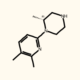 Cc1ccc(N2CCNC[C@H]2C)nc1C